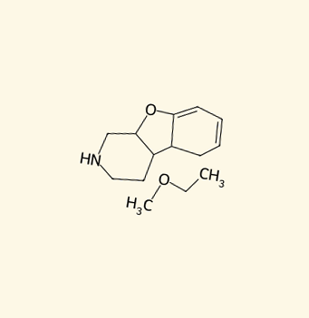 C1=CCC2C(=C1)OC1CNCCC12.CCOC